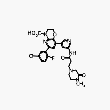 CN1CCN(CCC(=O)Nc2cncc(-c3cc(-c4cc(Cl)ccc4F)nc4c3OCCN4C(=O)O)c2)CC1=O